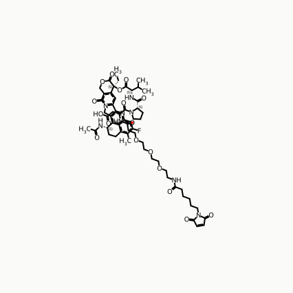 CC[C@@]1(OC(=O)[C@@H](NC(=O)[C@@H]2CCCN2C(=O)[C@H](CC(=O)O)NC(=O)CCOCCOCCOCCNC(=O)CCCCCN2C(=O)C=CC2=O)C(C)C)C(=O)OCc2c1cc1n(c2=O)Cc2c-1nc1cc(F)c(C)c3c1c2[C@@H](NC(C)=O)CC3